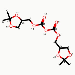 CC1(C)OCC(COC(=O)OC(=O)OCC2COC(C)(C)O2)O1